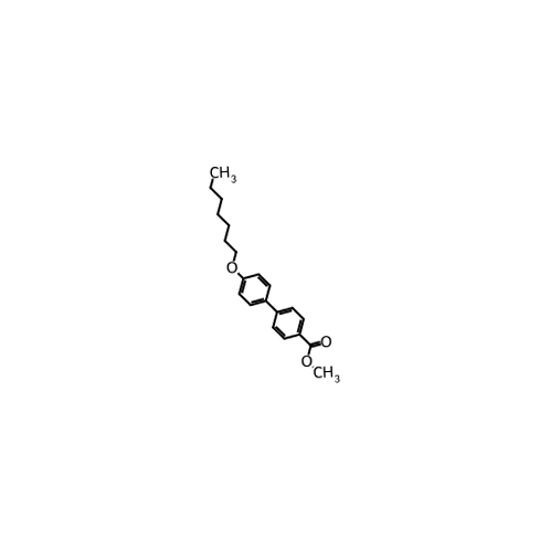 CCCCCCCOc1ccc(-c2ccc(C(=O)OC)cc2)cc1